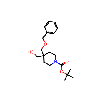 CC(C)(C)OC(=O)N1CCC(CO)(COCc2ccccc2)CC1